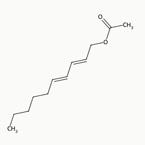 CCCCCC=CC=CCOC(C)=O